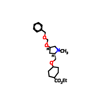 CCOC(=O)[C@H]1CC[C@@H](OC[C@@H]2C[C@@H](OCOCc3ccccc3)CN2C)CC1